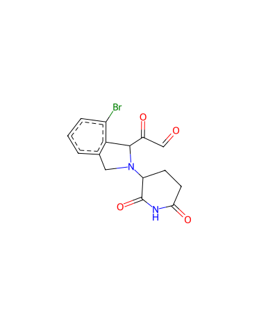 O=CC(=O)C1c2c(Br)cccc2CN1C1CCC(=O)NC1=O